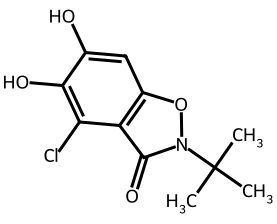 CC(C)(C)n1oc2cc(O)c(O)c(Cl)c2c1=O